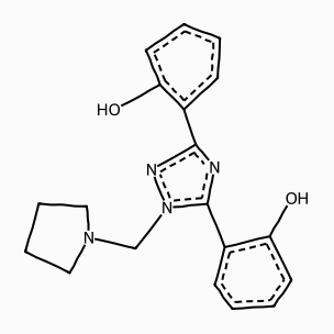 Oc1ccccc1-c1nc(-c2ccccc2O)n(CN2CCCC2)n1